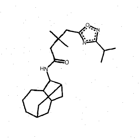 CC(C)c1noc(CC(C)(C)CC(=O)NC2C3CC4CCCC2C(C4)C3)n1